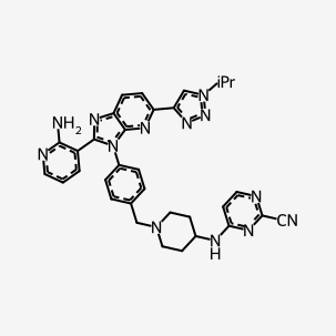 CC(C)n1cc(-c2ccc3nc(-c4cccnc4N)n(-c4ccc(CN5CCC(Nc6ccnc(C#N)n6)CC5)cc4)c3n2)nn1